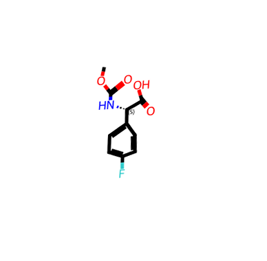 COC(=O)N[C@H](C(=O)O)c1ccc(F)cc1